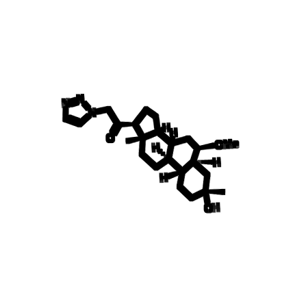 CO[C@@H]1C[C@@H]2[C@H](CC[C@]3(C)[C@@H](C(=O)Cn4ccnn4)CC[C@@H]23)[C@H]2CC[C@@](C)(O)C[C@@H]21